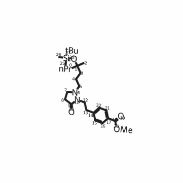 CCCC(C)(CCCN1CCC(=O)N1CCc1ccc(C(=O)OC)cc1)O[Si](C)(C)C(C)(C)C